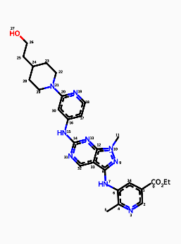 CCOC(=O)c1cnc(C)c(Nc2nn(C)c3nc(Nc4ccnc(N5CCC(CCO)CC5)c4)ncc23)c1